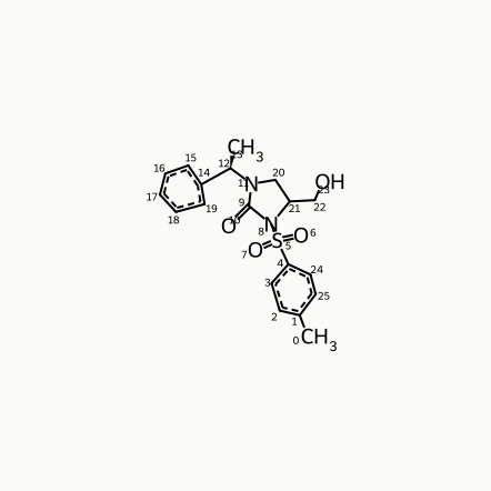 Cc1ccc(S(=O)(=O)N2C(=O)N([C@H](C)c3ccccc3)CC2CO)cc1